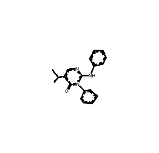 CC(C)c1cnc(Nc2ccccc2)n(-c2ccccc2)c1=O